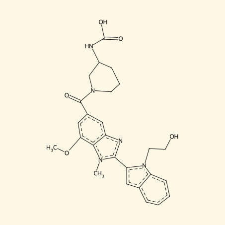 COc1cc(C(=O)N2CCCC(NC(=O)O)C2)cc2nc(-c3cc4ccccc4n3CCO)n(C)c12